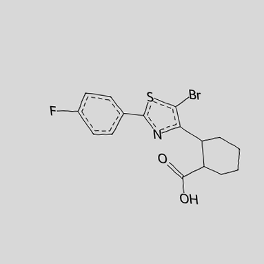 O=C(O)C1CCCCC1c1nc(-c2ccc(F)cc2)sc1Br